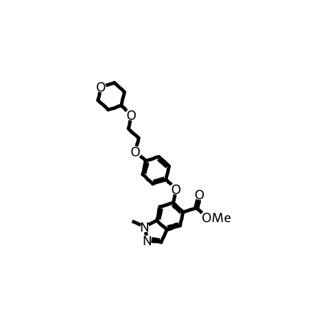 COC(=O)c1cc2cnn(C)c2cc1Oc1ccc(OCCOC2CCOCC2)cc1